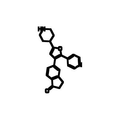 O=C1CCc2cc(-c3cc(C4CCNCC4)oc3-c3ccncc3)ccc21